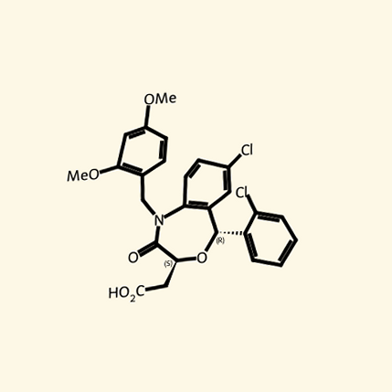 COc1ccc(CN2C(=O)[C@H](CC(=O)O)O[C@@H](c3ccccc3Cl)c3cc(Cl)ccc32)c(OC)c1